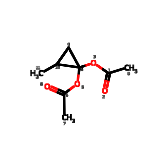 CC(=O)OC1(OC(C)=O)CC1C